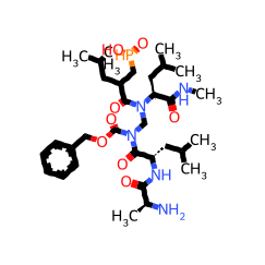 CNC(=O)[C@H](CC(C)C)N(CN(C(=O)OCc1ccccc1)C(=O)[C@H](CC(C)C)NC(=O)[C@H](C)N)C(=O)C(CC(C)C)C[PH](=O)O